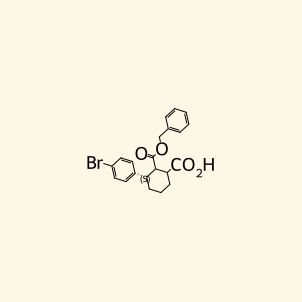 O=C(O)C1CCC[C@H](c2ccc(Br)cc2)C1C(=O)OCc1ccccc1